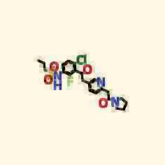 CCCS(=O)(=O)Nc1ccc(Cl)c(C(=O)Cc2ccc(CC(=O)N3CCCC3)nc2)c1F